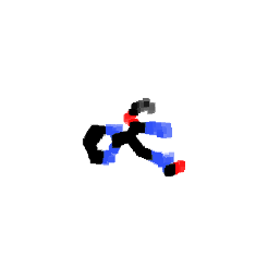 COC(=N)/C(CNC=O)=C1/N=CC=CN1